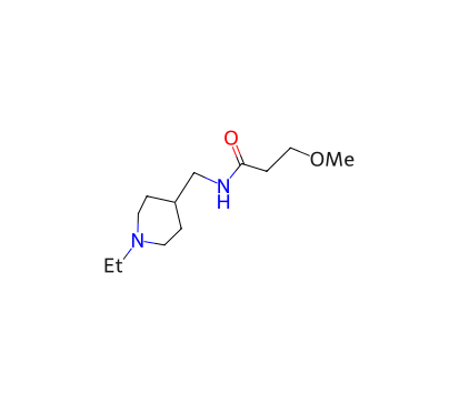 CCN1CCC(CNC(=O)CCOC)CC1